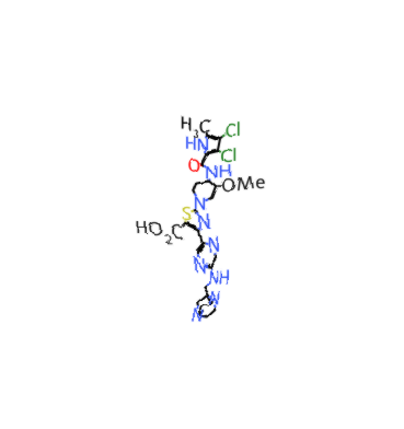 CO[C@H]1CN(c2nc(-c3cnc(NCC4CN5CCN4CC5)cn3)c(C(=O)O)s2)CC[C@H]1NC(=O)c1[nH]c(C)c(Cl)c1Cl